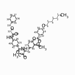 CCCCCCCOc1ccc(C(=O)Oc2ccc(CC(NC(=O)c3ccc(NC(=O)COCc4ccccc4)cc3)C(C)=O)cc2OC)cc1